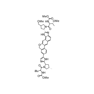 CC[C@H](C)C(NC(=O)OC)C(=O)N1C[C@@H](C)CC1c1ncc(-c2ccc3c(c2)COc2cc4c(ccc5nc([C@@H]6CC(COC)CN6C(=O)[C@@H](NC(=O)OC)[C@@H](C)OC)[nH]c54)cc2-3)[nH]1